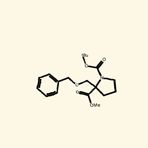 COC(=O)C1(COCc2ccccc2)CCCN1C(=O)OC(C)(C)C